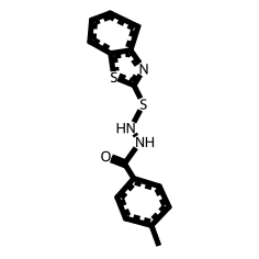 Cc1ccc(C(=O)NNSc2nc3ccccc3s2)cc1